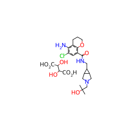 CC(C)(O)CN1CC2C(CNC(=O)c3cc(Cl)c(N)c4c3OCCC4)C2C1.O=C(O)C(O)C(O)C(=O)O